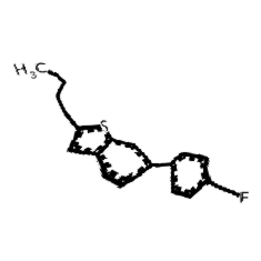 CCCc1cc2ccc(-c3ccc(F)cc3)cc2s1